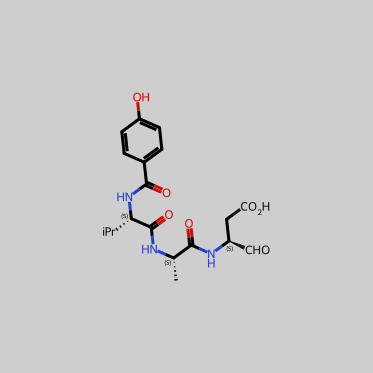 CC(C)[C@H](NC(=O)c1ccc(O)cc1)C(=O)N[C@@H](C)C(=O)N[C@H](C=O)CC(=O)O